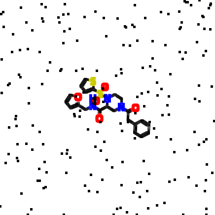 O=C(NCc1ccco1)C1CN(C(=O)Cc2ccccc2)CCN1S(=O)(=O)c1cccs1